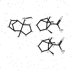 CC1(C)C2CC[C@@]1(C)C(C(=O)O)C2.CC1(C)C2CC[C@@]1(C)C(C(=O)O)C2.CNC12CCCC1(C)C1CCC2C1